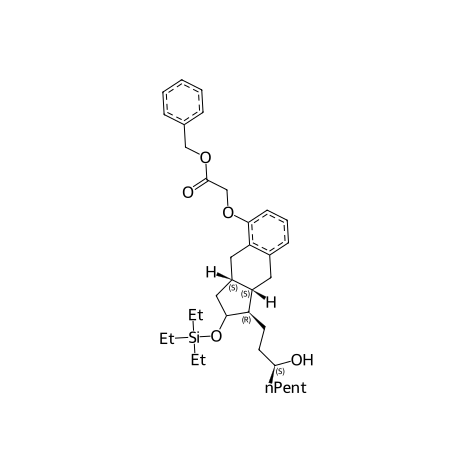 CCCCC[C@H](O)CC[C@H]1C(O[Si](CC)(CC)CC)C[C@@H]2Cc3c(cccc3OCC(=O)OCc3ccccc3)C[C@@H]21